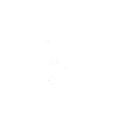 C=CCn1c(CCC(=O)NCC2=CCCCC2OC)nnc1SCc1cccc(F)c1